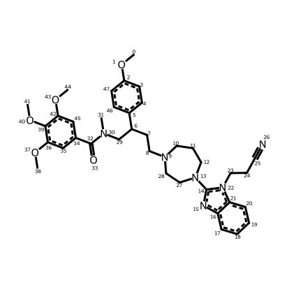 COc1ccc(C(CCN2CCCN(c3nc4ccccc4n3CCC#N)CC2)CN(C)C(=O)c2cc(OC)c(OC)c(OC)c2)cc1